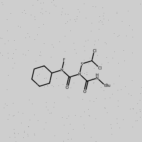 CC(C)(C)NC(=O)N(SC(Cl)Cl)C(=O)N(F)C1CCCCC1